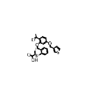 CC(=O)c1ccc(OCc2ccsc2)cc1O[C@@H](CCC(=O)O)c1ccccc1Br